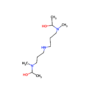 CC(O)N(C)CCCNCCCN(C)C(C)O